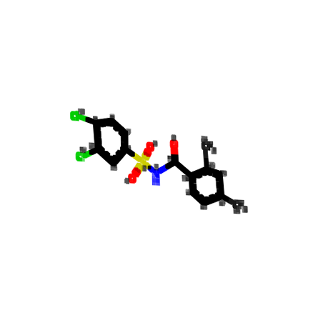 O=C(NS(=O)(=O)c1ccc(Cl)c(Cl)c1)c1ccc(C(F)(F)F)cc1C(F)(F)F